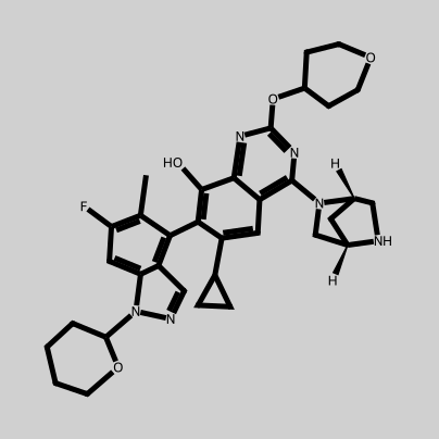 Cc1c(F)cc2c(cnn2C2CCCCO2)c1-c1c(C2CC2)cc2c(N3C[C@@H]4C[C@H]3CN4)nc(OC3CCOCC3)nc2c1O